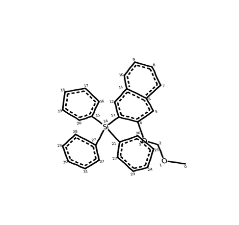 COCOc1cc2ccccc2cc1[Si](c1ccccc1)(c1ccccc1)c1ccccc1